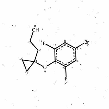 OCCC1(Oc2c(F)cc(Br)cc2F)CC1